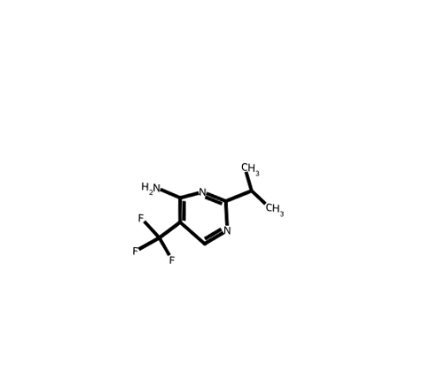 CC(C)c1ncc(C(F)(F)F)c(N)n1